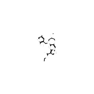 CCOC(=O)c1cnn2cc3c(nc12)N(Cc1cc(F)cnc1O)C[C@H](OC)CO3